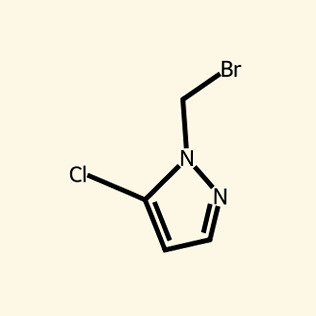 Clc1ccnn1CBr